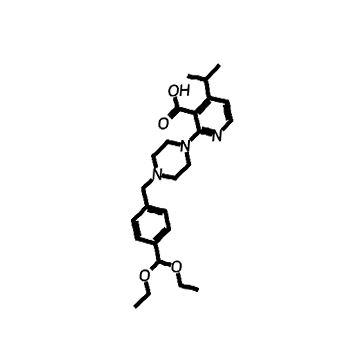 CCOC(OCC)c1ccc(CN2CCN(c3nccc(C(C)C)c3C(=O)O)CC2)cc1